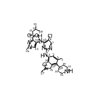 Cc1cc(Nc2ncc(Cl)c(Nc3cn(C)nc3S(=O)(=O)CC(C)C)n2)c2c(c1C1CCNCC1)C[C@@H](C)O2